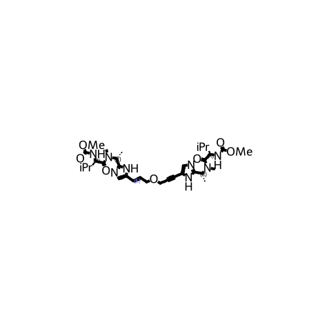 COC(=O)N[C@@H](C(=O)N(C)[C@H](C)c1ncc(C#CCOC/C=C/c2cnc([C@@H](C)N(C)C(=O)[C@H](NC(=O)OC)C(C)C)[nH]2)[nH]1)C(C)C